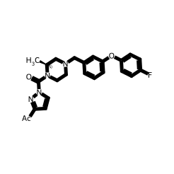 CC(=O)c1ccn(C(=O)N2CCN(Cc3cccc(Oc4ccc(F)cc4)c3)C[C@@H]2C)n1